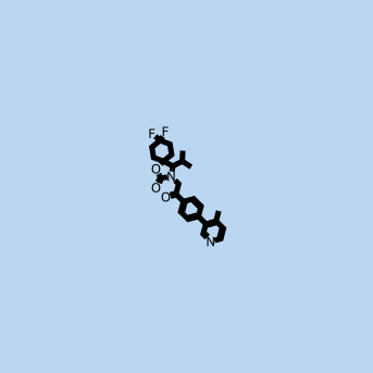 Cc1ccncc1-c1ccc(C(=O)CN2C(=O)OC3(CCC(F)(F)CC3)C2C(C)C)cc1